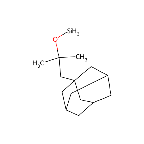 CC(C)(CC12CC3CC(CC(C3)C1)C2)O[SiH3]